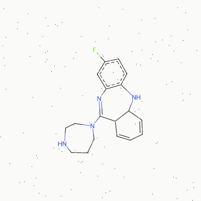 Fc1ccc2c(c1)N=C(N1CCCNCC1)C1C=CC=CC1N2